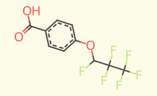 O=C(O)c1ccc(OC(F)C(F)(F)C(F)(F)F)cc1